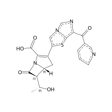 C[C@@H](O)[C@H]1C(=O)N2C(C(=O)O)=C(c3cn4cnc(C(=O)c5cccnc5)c4s3)C[C@H]12